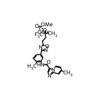 COP(=O)(OC)O[C@@](C)(CCc1nc(-c2ccc(C)c(NC(=O)c3cnc4cc(C)ccn34)c2)no1)C(F)(F)F